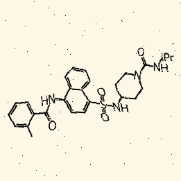 Cc1ccccc1C(=O)Nc1ccc(S(=O)(=O)NC2CCN(C(=O)NC(C)C)CC2)c2ccccc12